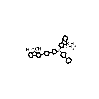 CC1(C)c2ccccc2-c2ccc(-c3ccc(-c4ccc(N(c5ccc(-c6ccccc6)cc5)c5ccc6c(c5)C(C)(C)c5ccccc5-6)cc4)cc3)cc21